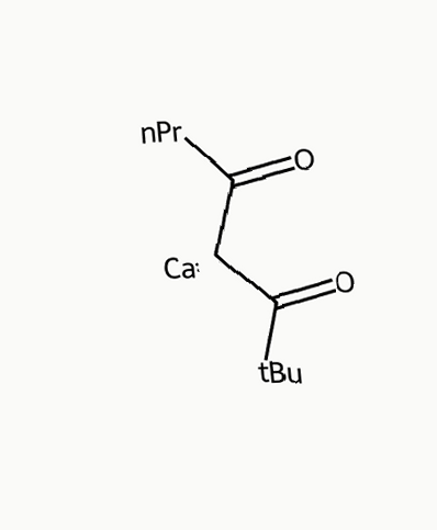 CCCC(=O)CC(=O)C(C)(C)C.[Ca]